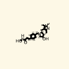 Cc1nn(C)c(C)c1C[C@H]1C[C@H](O)CN1Cc1ccc(C=CC(=O)NO)cc1